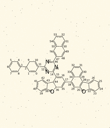 C1=CC(c2ccccc2)CC=C1c1nc(C2=CC(c3cc4oc5ccccc5c4c4ccccc34)=CC3Oc4ccccc4C23)nc(-c2ccc3ccccc3c2)n1